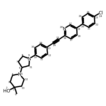 CC1(O)CCN(C2CCN(c3ccc(C#Cc4ccc(-c5ccc(Cl)cc5)cn4)cc3)C2)CC1